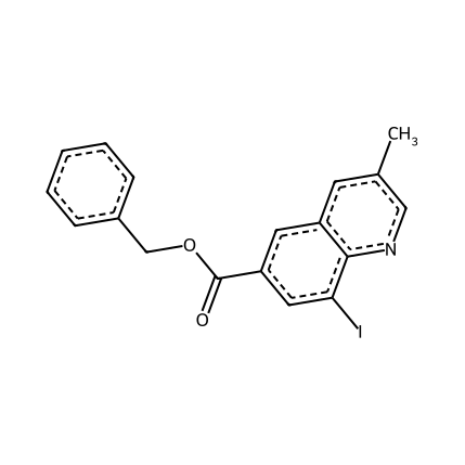 Cc1cnc2c(I)cc(C(=O)OCc3ccccc3)cc2c1